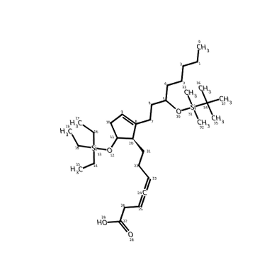 CCCCCC(CCC1=CCC(O[Si](CC)(CC)CC)[C@@H]1CCC=C=CCC(=O)O)O[Si](C)(C)C(C)(C)C